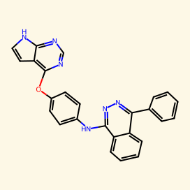 c1ccc(-c2nnc(Nc3ccc(Oc4ncnc5[nH]ccc45)cc3)c3ccccc23)cc1